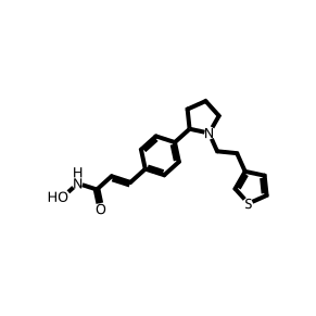 O=C(C=Cc1ccc(C2CCCN2CCc2ccsc2)cc1)NO